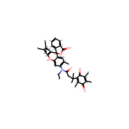 CCN(C(=O)CC(C)(C)C1=C(C)C(=O)C(C)=C(C)C1=O)c1cc2c(cc1C)C1(OC(=O)c3ccccc31)c1cc(C)c(C)cc1O2